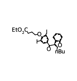 CCCCc1oc2ccccc2c1C(=O)c1cc(I)c(OCCCC(=O)OCC)c(I)c1